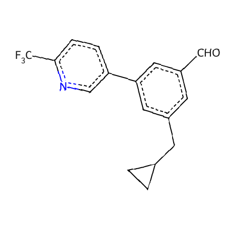 O=Cc1cc(CC2CC2)cc(-c2ccc(C(F)(F)F)nc2)c1